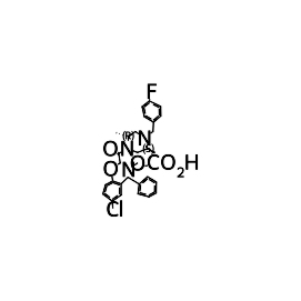 C[C@@H]1CN(Cc2ccc(F)cc2)[C@@H](C)CN1C(=O)COc1ccc(Cl)cc1C(=NOCC(=O)O)c1ccccc1